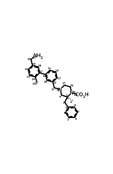 C[C@]1(Cc2ccccc2)CN(Cc2cccc(-c3cc(CN)ccc3F)c2)CCN1C(=O)O